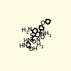 Nc1ccc2c3c(c(C(=O)N[C@H]4CNC[C@H](O)C4)sc13)C(N)C(=O)C2(N)c1ccc(Oc2ccccc2)cc1